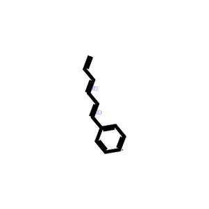 C=C/C=C/C=C/c1cc[c]cc1